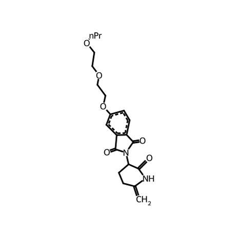 C=C1CCC(N2C(=O)c3ccc(OCCOCCOCCC)cc3C2=O)C(=O)N1